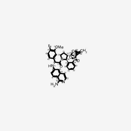 COc1cc([C@@H](Nc2ccc3c(N)nccc3c2)C(=O)N2CC[C@H](C3OC(C)O3)[C@H]2c2ccccc2S(=O)(=O)C2CC2)ccc1F